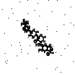 CS(=O)(=O)c1cc(F)c(N[C@H]2CCCN(C3CCN(c4noc(C(F)(F)F)n4)CC3)C2=O)cc1F